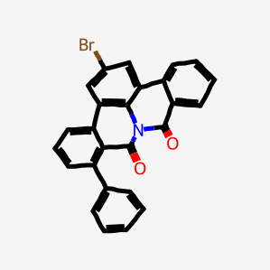 O=c1c2ccccc2c2cc(Br)cc3c4cccc(-c5ccccc5)c4c(=O)n1c23